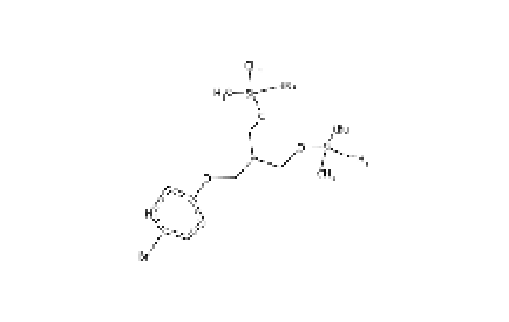 CC(C)(C)[Si](C)(C)OCC(COc1ccc(Br)nc1)CO[Si](C)(C)C(C)(C)C